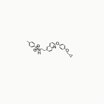 Cc1ccc(S(=O)(=O)NCCc2ccc3nc(Oc4ccc(OCC5CC5)cc4)ccc3c2)cc1